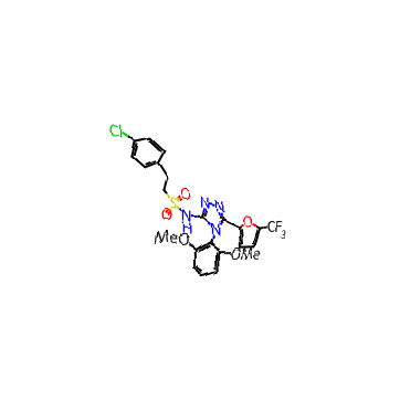 COc1cccc(OC)c1-n1c(NS(=O)(=O)CCc2ccc(Cl)cc2)nnc1-c1ccc(C(F)(F)F)o1